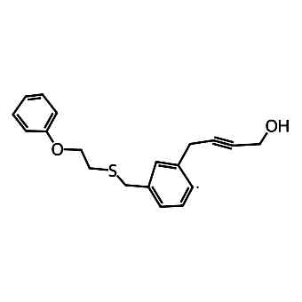 OCC#CCc1[c]ccc(CSCCOc2ccccc2)c1